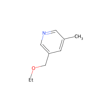 CCOCc1cncc(C)c1